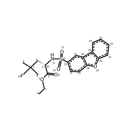 CCOC(=O)[C@H](CC(C)(C)F)NS(=O)(=O)c1ccc2oc3ccccc3c2c1